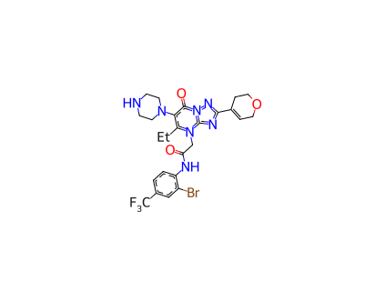 CCc1c(N2CCNCC2)c(=O)n2nc(C3=CCOCC3)nc2n1CC(=O)Nc1ccc(C(F)(F)F)cc1Br